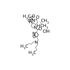 CCCCN(CCCC)Cc1cc(C(=O)N2CC[C@H]3[C@H]2[C@@H](C(C)C)C(=O)N3S(C)(=O)=O)no1.Cl